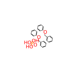 O=P(O)(O)O.c1ccc(COc2ccccc2)cc1.c1ccc(COc2ccccc2)cc1